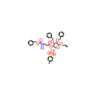 C=CCO[C@H]1O[C@H](COS(=O)(=O)c2ccc(C)cc2)[C@@H](OC(=O)CCNC(=O)OCc2ccccc2)[C@H](OCc2ccccc2)[C@H]1OCc1ccccc1